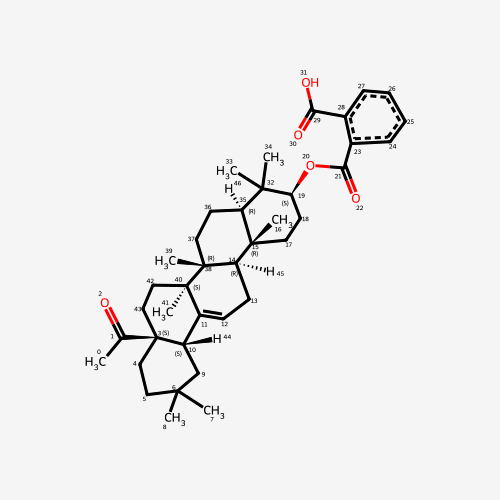 CC(=O)[C@]12CCC(C)(C)C[C@H]1C1=CC[C@@H]3[C@@]4(C)CC[C@H](OC(=O)c5ccccc5C(=O)O)C(C)(C)[C@@H]4CC[C@@]3(C)[C@]1(C)CC2